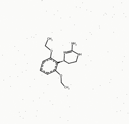 CCOc1cccc(OCC)c1[C@@H]1CCNC(N)=N1